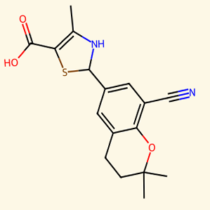 CC1=C(C(=O)O)SC(c2cc(C#N)c3c(c2)CCC(C)(C)O3)N1